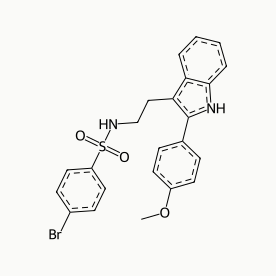 COc1ccc(-c2[nH]c3ccccc3c2CCNS(=O)(=O)c2ccc(Br)cc2)cc1